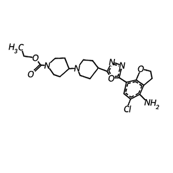 CCOC(=O)N1CCC(N2CCC(c3nnc(-c4cc(Cl)c(N)c5c4OCC5)o3)CC2)CC1